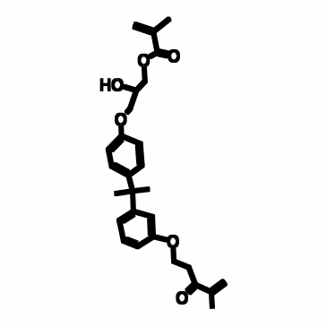 C=C(C)C(=O)CCOc1cccc(C(C)(C)c2ccc(OCC(O)COC(=O)C(=C)C)cc2)c1